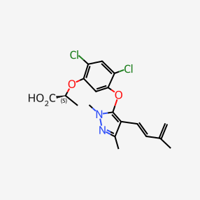 C=C(C)C=Cc1c(C)nn(C)c1Oc1cc(O[C@@H](C)C(=O)O)c(Cl)cc1Cl